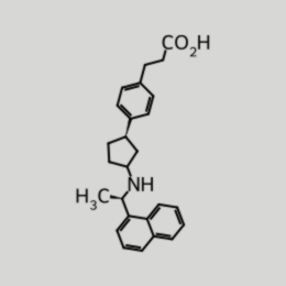 C[C@@H](NC1CC[C@@H](c2ccc(CCC(=O)O)cc2)C1)c1cccc2ccccc12